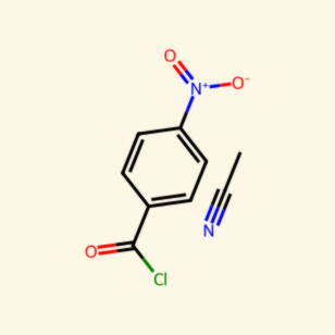 CC#N.O=C(Cl)c1ccc([N+](=O)[O-])cc1